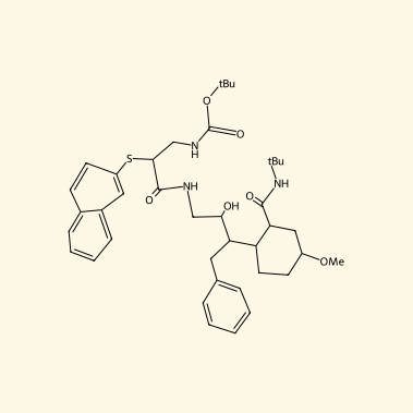 COC1CCC(C(Cc2ccccc2)C(O)CNC(=O)C(CNC(=O)OC(C)(C)C)Sc2ccc3ccccc3c2)C(C(=O)NC(C)(C)C)C1